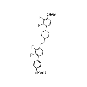 CCCCCc1ccc(-c2ccc(CCC3CCC(c4ccc(OC)c(F)c4F)CC3)c(F)c2F)cc1